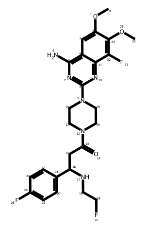 COc1cc2c(N)nc(N3CCN(C(=O)CC(NCCF)c4ccc(F)cc4)CC3)nc2c(F)c1OC